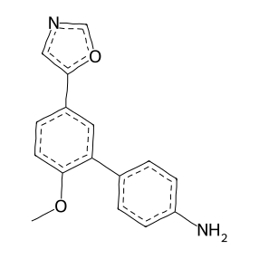 COc1ccc(-c2cnco2)cc1-c1ccc(N)cc1